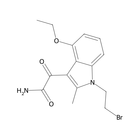 CCOc1cccc2c1c(C(=O)C(N)=O)c(C)n2CCBr